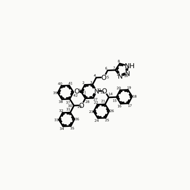 O=c1cc(COCc2c[nH]nn2)n(OC(c2ccccc2)c2ccccc2)cc1OC(c1ccccc1)c1ccccc1